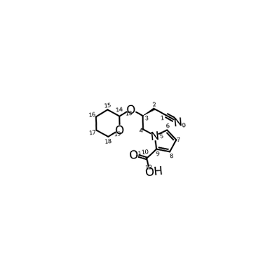 N#CC[C@@H](Cn1cccc1C(=O)O)OC1CCCCO1